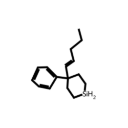 CCCC=CC1(c2ccccc2)CC[SiH2]CC1